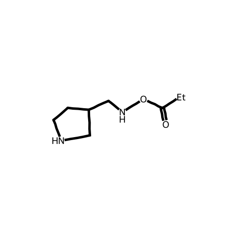 CCC(=O)ONCC1CCNC1